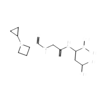 CC(C)CC(NC(=O)CNC(=O)[C@@H]1CCN1C1CC1)B(O)O